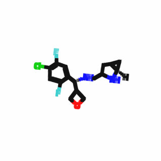 Fc1cc([C@H](NCC2CC3C[C@H]3N2)C2COC2)c(F)cc1Cl